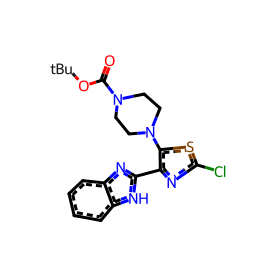 CC(C)(C)OC(=O)N1CCN(c2sc(Cl)nc2-c2nc3ccccc3[nH]2)CC1